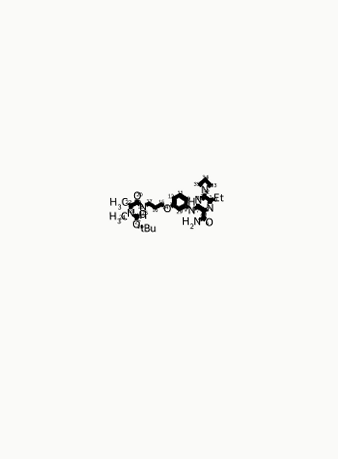 CCc1nc(C(N)=O)c(Nc2cccc(OCCCNC(=O)[C@H](C)N(C)C(=O)OC(C)(C)C)c2)nc1N1CCC1